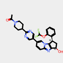 CC(=O)N1CCC(c2ncc(-c3ccc4nc5c(n4c3)[C@@H](c3ccccc3OC(F)F)C[C@H]5O)cn2)CC1